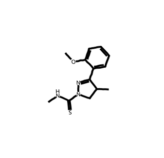 CNC(=S)N1CC(C)C(c2ccccc2OC)=N1